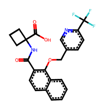 O=C(NC1(C(=O)O)CCC1)c1ccc2ccccc2c1OCc1ccc(C(F)(F)F)nc1